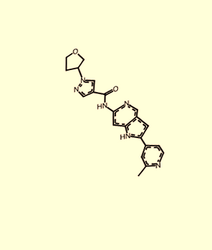 Cc1cc(-c2cc3cnc(NC(=O)c4cnn(C5CCOC5)c4)cc3[nH]2)ccn1